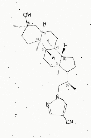 C[C@@H](Cn1cc(C#N)cn1)C1CC[C@H]2[C@@H]3CC[C@@H]4C[C@](C)(O)CC[C@]4(C)[C@H]3CC[C@]12C